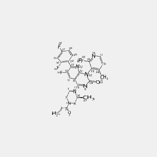 C=CC(=O)N1CCN(c2nc(=O)n(-c3c(C)ccnc3C(C)C)c3nc(-c4ccc(F)cc4F)c(F)cc23)[C@@H](C)C1